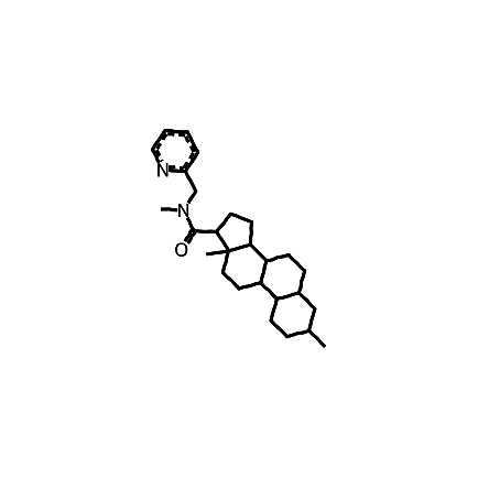 CC1CCC2C(CCC3C2CCC2(C)C(C(=O)N(C)Cc4ccccn4)CCC32)C1